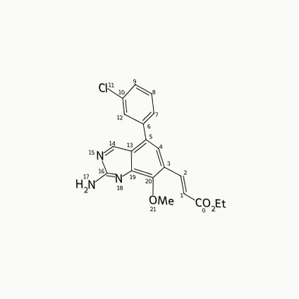 CCOC(=O)C=Cc1cc(-c2cccc(Cl)c2)c2cnc(N)nc2c1OC